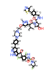 Cc1ncsc1-c1ccc([C@H](C)NC(=O)[C@@H]2C[C@@H](O)CN2C(=O)C(c2cc(OCCN3CCN(c4ccc(-c5cnc6[nH]cc(C(=O)c7c(F)ccc(NS(=O)(=O)N8CC[C@@H](F)C8)c7F)c6c5)cc4)CC3)n(C)n2)C(C)C)cc1